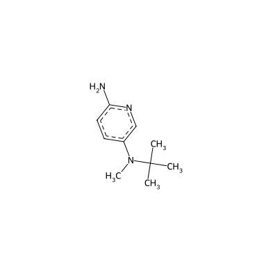 CN(c1ccc(N)nc1)C(C)(C)C